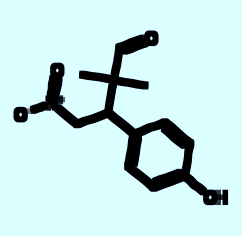 CC(C)(C=O)C(C[N+](=O)[O-])c1ccc(O)cc1